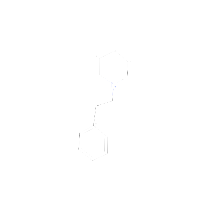 [CH](CN1CCCCC1)c1ccccc1